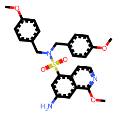 COc1ccc(CN(Cc2ccc(OC)cc2)S(=O)(=O)c2cc(N)cc3c(OC)nccc23)cc1